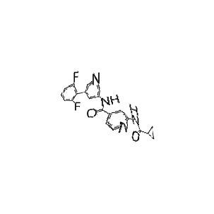 O=C(Nc1cncc(-c2c(F)cccc2F)c1)c1ccnc(NC(=O)C2CC2)c1